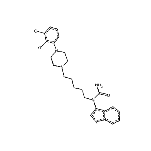 NC(=O)N(CCCCCN1CCN(c2cccc(Cl)c2Cl)CC1)c1cnn2ccccc12